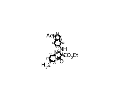 CCOC(=O)c1c(Nc2ccc3c(cnn3C(C)=O)c2)nc2ccc(C)cn2c1=O